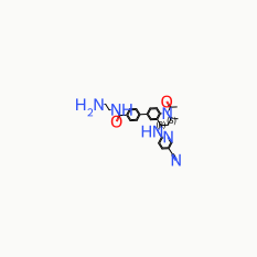 CC(=O)N1c2ccc(-c3ccc(C(=O)NCCN)cc3)cc2[C@H](Nc2ccc(C#N)cn2)C[C@@H]1C